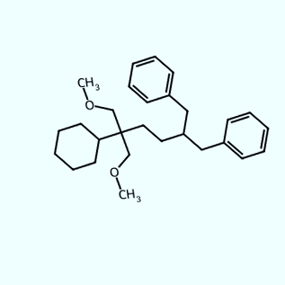 COCC(CCC(Cc1ccccc1)Cc1ccccc1)(COC)C1CCCCC1